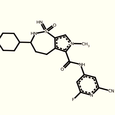 Cn1cc2c(c1C(=O)Nc1cc(F)nc(C#N)c1)CCC(C1CCCCC1)NS2(=N)=O